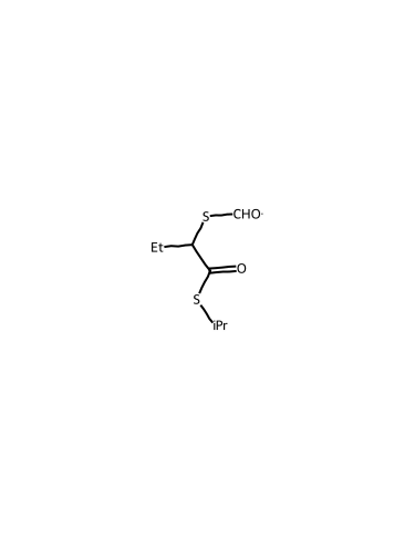 CCC(S[C]=O)C(=O)SC(C)C